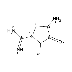 CC1C(=O)C(N)CN1C(=N)N